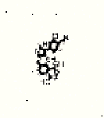 Cc1nn(Cc2ccc(C(=O)O)c(C(=O)O)c2)c(C)c1-c1ccc(C#N)c(Cl)c1